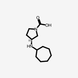 O=C(O)N1CC[C@H](NC2CCCCCC2)C1